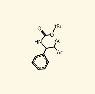 CC(=O)C(C(C)=O)C(NC(=O)OC(C)(C)C)c1ccccc1